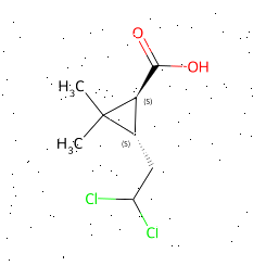 CC1(C)[C@@H](CC(Cl)Cl)[C@@H]1C(=O)O